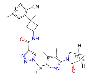 Cc1ccc(C#N)c(C2(C)CC(NC(=O)c3cn([C@@H](C)c4cnc(N5C[C@H]6C[C@H]6C5=O)c(C)c4C)nn3)C2)c1